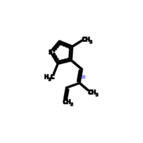 C=C/C(C)=C\c1c(C)csc1C